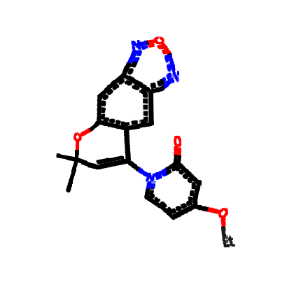 CCOc1ccn(C2=CC(C)(C)Oc3cc4nonc4cc32)c(=O)c1